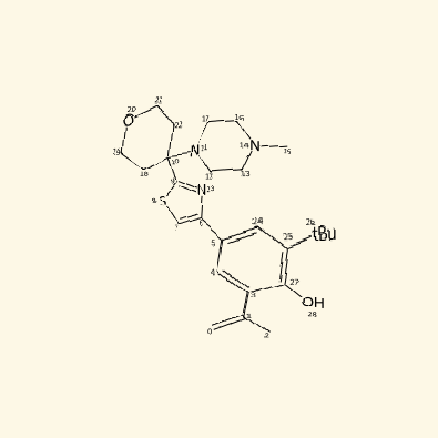 C=C(C)c1cc(-c2csc(C3(N4CCN(C)CC4)CCOCC3)n2)cc(C(C)(C)C)c1O